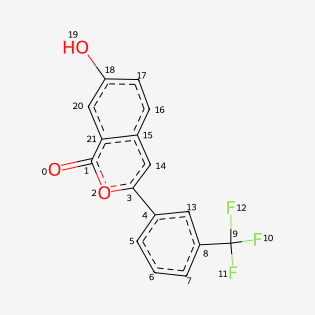 O=c1oc(-c2cccc(C(F)(F)F)c2)cc2ccc(O)cc12